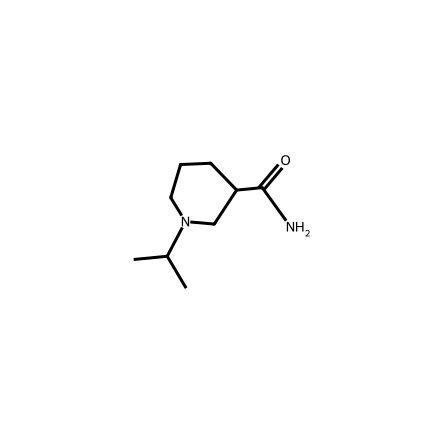 CC(C)N1CCCC(C(N)=O)C1